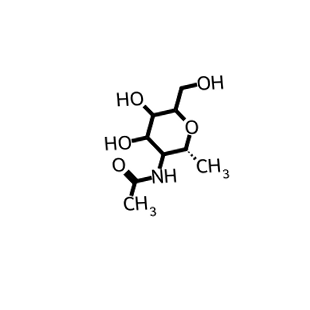 CC(=O)NC1C(O)C(O)C(CO)O[C@@H]1C